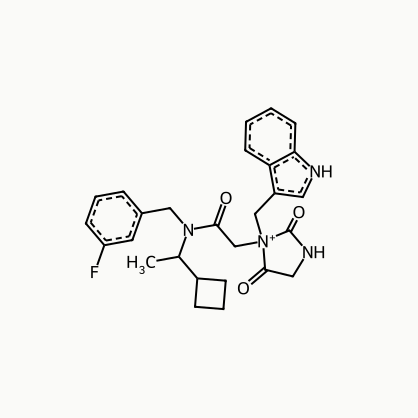 CC(C1CCC1)N(Cc1cccc(F)c1)C(=O)C[N+]1(Cc2c[nH]c3ccccc23)C(=O)CNC1=O